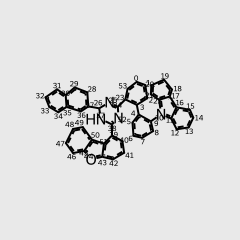 c1ccc(-c2ccccc2-n2c3ccccc3c3ccccc32)c(C2=NC(c3ccc4ccccc4c3)NC(c3cccc4oc5ccccc5c34)=N2)c1